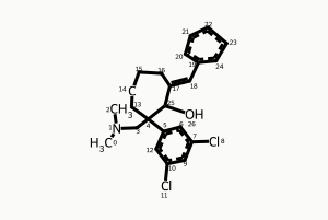 CN(C)CC1(c2cc(Cl)cc(Cl)c2)CCCCC(=Cc2ccccc2)C1O